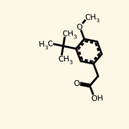 COc1ccc(CC(=O)O)cc1C(C)(C)C